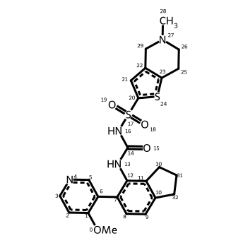 COc1ccncc1-c1ccc2c(c1NC(=O)NS(=O)(=O)c1cc3c(s1)CCN(C)C3)CCC2